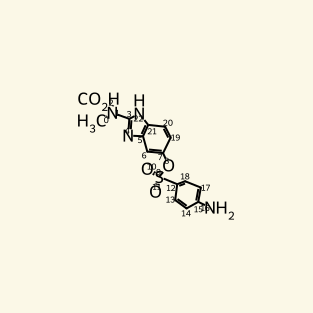 CN(C(=O)O)c1nc2cc(OS(=O)(=O)c3ccc(N)cc3)ccc2[nH]1